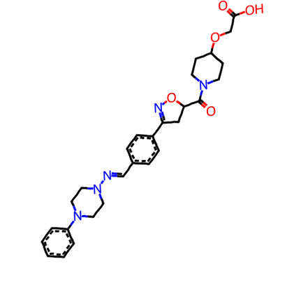 O=C(O)COC1CCN(C(=O)C2CC(c3ccc(C=NN4CCN(c5ccccc5)CC4)cc3)=NO2)CC1